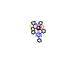 c1ccc(-c2nc(-c3ccccc3)nc(-c3cccc4oc5ccc(-c6cccc7sc8cccc(-n9c%10ccccc%10c%10ccccc%109)c8c67)cc5c34)n2)cc1